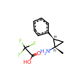 C[C@]1(N)C[C@@H]1c1ccccc1.O=C(O)C(F)(F)F